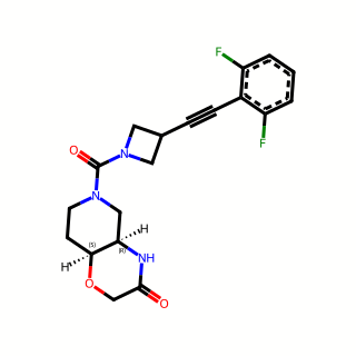 O=C1CO[C@H]2CCN(C(=O)N3CC(C#Cc4c(F)cccc4F)C3)C[C@H]2N1